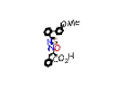 COc1cccc(-c2ccccc2-c2csc(N(C)C(=O)C(CC(=O)O)Cc3ccccc3)n2)c1